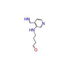 N=Cc1ccncc1NCCCC=O